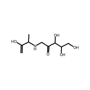 C=C(O)C(C)NCC(=O)C(O)C(O)CO